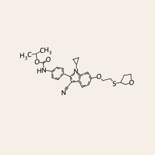 CC(C)OC(=O)Nc1ccc(-c2c(C#N)c3ccc(OCCSC4CCOC4)cc3n2C2CC2)cc1